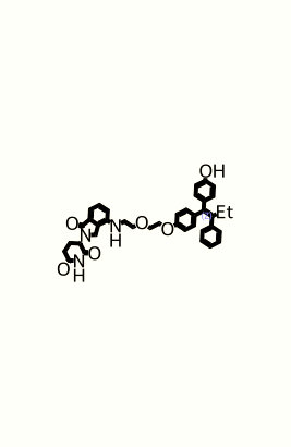 CC/C(=C(\c1ccc(O)cc1)c1ccc(OCCOCCNc2cccc3c2CN(C2CCC(=O)NC2=O)C3=O)cc1)c1ccccc1